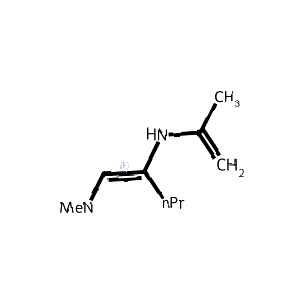 C=C(C)N/C(=C/NC)CCC